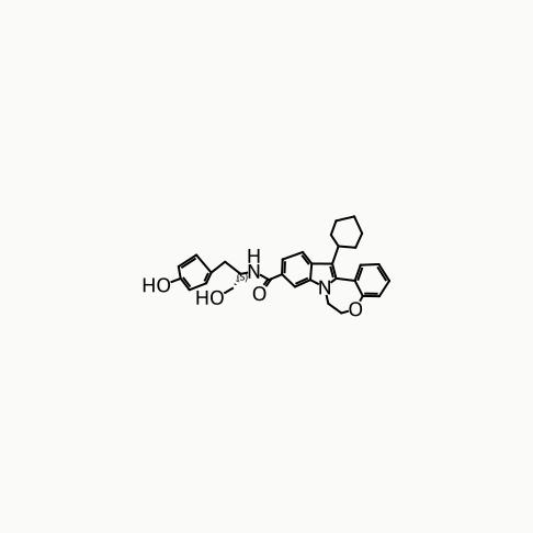 O=C(N[C@H](CO)Cc1ccc(O)cc1)c1ccc2c(C3CCCCC3)c3n(c2c1)CCOc1ccccc1-3